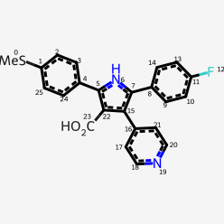 CSc1ccc(-c2[nH]c(-c3ccc(F)cc3)c(-c3ccncc3)c2C(=O)O)cc1